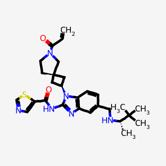 C=CC(=O)N1CC[C@]2(C1)C[C@H](n1c(NC(=O)c3cncs3)nc3cc(CN[C@@H](C)C(C)(C)C)ccc31)C2